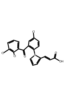 O=C(O)/C=C/c1cccn1-c1ccc(Cl)cc1C(=O)c1cccc(Cl)c1Cl